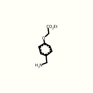 CCOC(=O)COc1ccc(CN)cc1